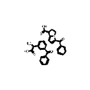 CC(C(=O)O)c1cccc(C(=O)c2ccccc2)c1.O=C(c1ccccc1)c1ccc2n1CCC2C(=O)O